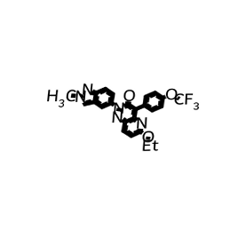 CCOc1ccc2nn(-c3ccc4nn(C)cc4c3)c(=O)c(-c3ccc(OC(F)(F)F)cc3)c2n1